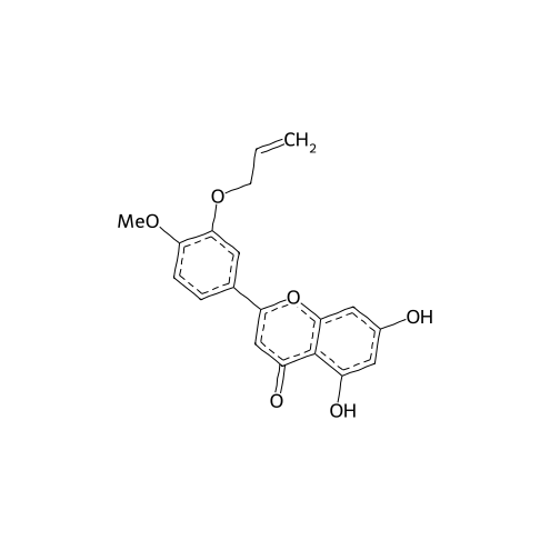 C=CCOc1cc(-c2cc(=O)c3c(O)cc(O)cc3o2)ccc1OC